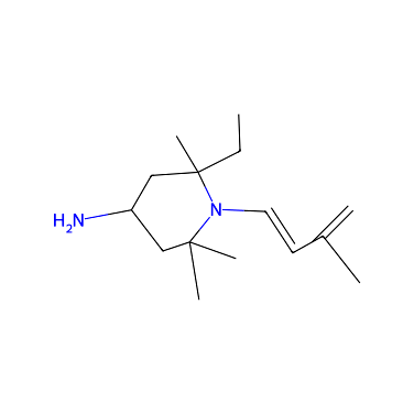 C=C(C)C=CN1C(C)(C)CC(N)CC1(C)CC